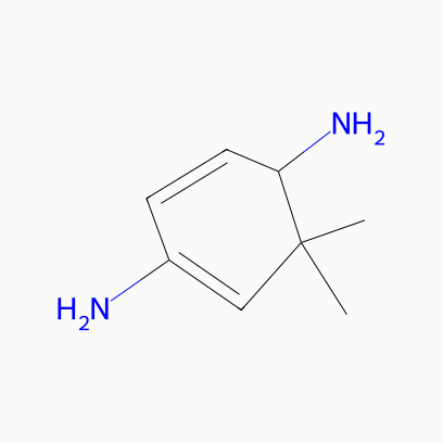 CC1(C)C=C(N)C=CC1N